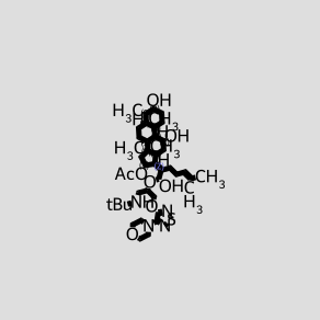 CC(=O)O[C@H]1C[C@@]2(C)[C@@H](C[C@@H](O)[C@H]3[C@@]4(C)CC[C@@H](O)[C@@H](C)[C@@H]4CC[C@@]32C)/C1=C(\CCC=C(C)C)C(O)OC(CNC(C)(C)C)COc1nsnc1N1CCOCC1